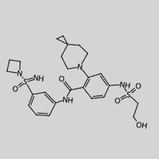 N=[S@](=O)(c1cccc(NC(=O)c2ccc(NS(=O)(=O)CCO)cc2N2CCC3(CC2)CC3)c1)N1CCC1